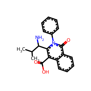 CC(C)C(N)c1c(C(=O)O)c2ccccc2c(=O)n1-c1ccccc1